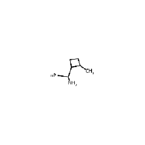 CCCC(N)C1CCC1C